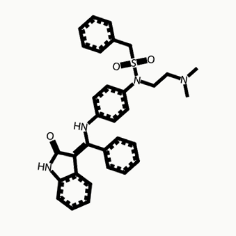 CN(C)CCN(c1ccc(N/C(=C2\C(=O)Nc3ccccc32)c2ccccc2)cc1)S(=O)(=O)Cc1ccccc1